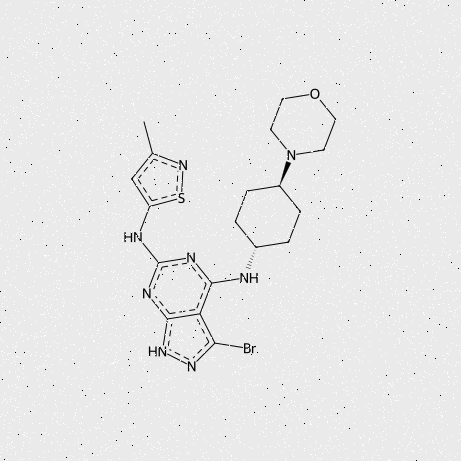 Cc1cc(Nc2nc(N[C@H]3CC[C@H](N4CCOCC4)CC3)c3c(Br)n[nH]c3n2)sn1